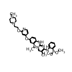 COc1cc(Oc2ccnc(OCCN3CCN(C)CC3)c2)ccc1Nc1ncc(Cl)c(Nc2ccccc2P(OC)OC)n1